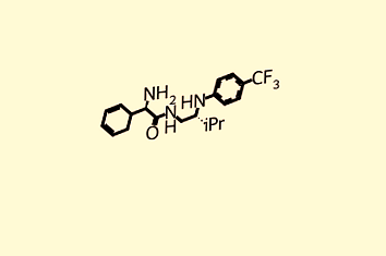 CC(C)[C@H](CNC(=O)[C@H](N)C1C=CC=CC1)Nc1ccc(C(F)(F)F)cc1